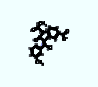 CC(=O)N1C(=O)/C(=C(/Cl)c2cccc(C)c2)c2cc([N+](=O)[O-])ccc21